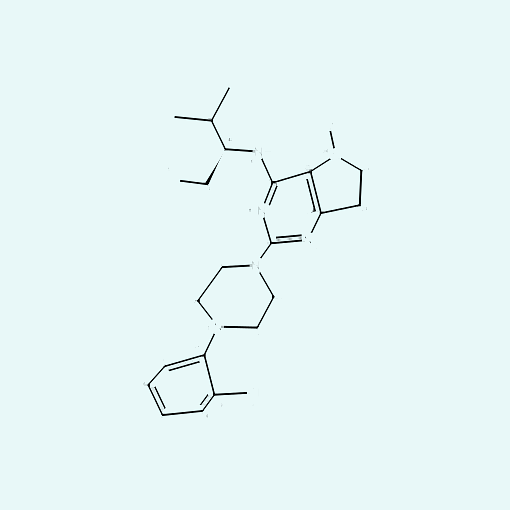 CC(C)[C@H](CO)Nc1nc(N2CCN(c3ccccc3Cl)CC2)nc2c1[S+]([O-])CC2